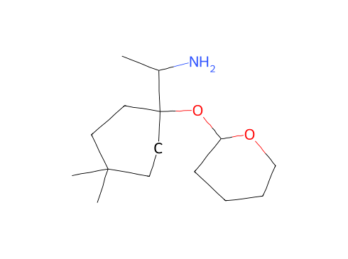 CC(N)C1(OC2CCCCO2)CCC(C)(C)CC1